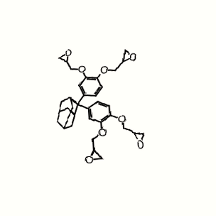 c1cc(OCC2CO2)c(OCC2CO2)cc1C1(c2ccc(OCC3CO3)c(OCC3CO3)c2)C2CC3CC(C2)CC1C3